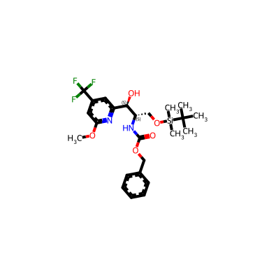 COc1cc(C(F)(F)F)cc([C@@H](O)[C@H](CO[Si](C)(C)C(C)(C)C)NC(=O)OCc2ccccc2)n1